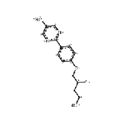 CCCCCCCCCc1cnc(-c2ccc(OCC(F)CCC(C)CC)cc2)nc1